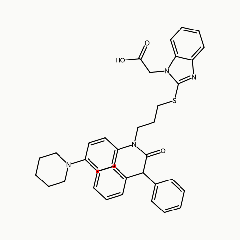 O=C(O)Cn1c(SCCCN(C(=O)C(c2ccccc2)c2ccccc2)c2ccc(N3CCCCC3)cc2)nc2ccccc21